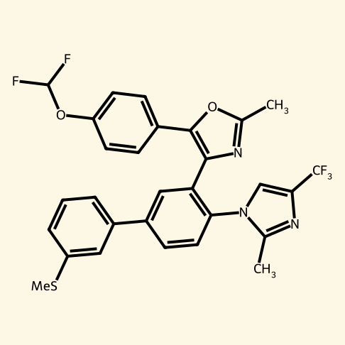 CSc1cccc(-c2ccc(-n3cc(C(F)(F)F)nc3C)c(-c3nc(C)oc3-c3ccc(OC(F)F)cc3)c2)c1